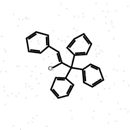 ClC(=Cc1ccccc1)C(c1ccccc1)(c1ccccc1)c1ccccc1